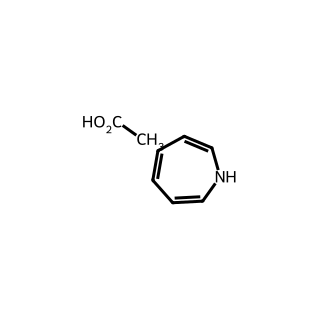 C1=CC=CNC=C1.CC(=O)O